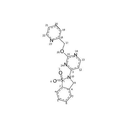 O=S1(=O)c2ccccc2CN1c1ccnc(OCc2ccccn2)n1